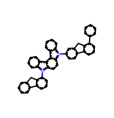 c1ccc(-c2cccc3c2Cc2cc(-n4c5ccccc5c5c6c7ccccc7n(-c7cccc8c7Cc7ccccc7-8)c6ccc54)ccc2-3)cc1